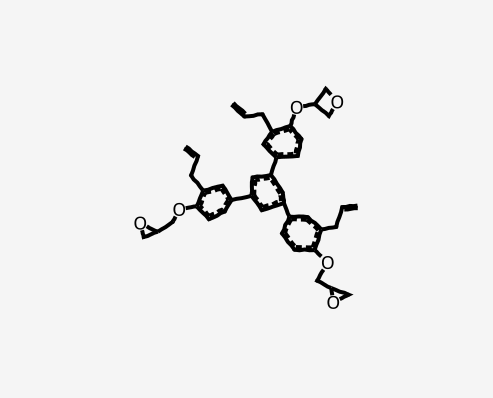 C=CCc1cc(-c2cc(-c3ccc(OCC4CO4)c(CC=C)c3)cc(-c3ccc(OC4COC4)c(CC=C)c3)c2)ccc1OCC1CO1